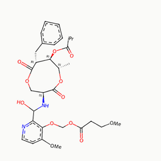 COCCC(=O)OCOc1c(OC)ccnc1C(O)N[C@H]1COC(=O)[C@H](Cc2ccccc2)[C@@H](OC(=O)C(C)C)[C@H](C)OC1=O